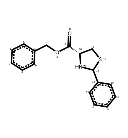 O=C(OCc1ccccc1)[C@@H]1CSC(c2ccccc2)N1